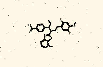 CCC(c1ccc(C(=O)O)cc1)N(CCc1cc(F)c(OC)cc1F)c1nc2cccc(F)c2s1